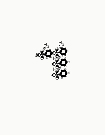 Cc1ccccc1S(=O)(=O)[O-].Cc1ccccc1S(=O)(=O)[O-].Cc1ccccc1S(=O)(=O)[O-].Cc1ccccc1S(=O)(=O)[O-].[Sn+4]